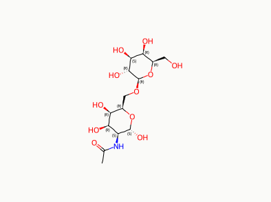 CC(=O)N[C@H]1[C@@H](O)[C@@H](O)[C@@H](CO[C@@H]2O[C@H](CO)[C@H](O)[C@H](O)[C@H]2O)O[C@@H]1O